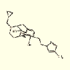 Cc1cnn(CCN2CCC34CCN(CC5CC5)C(Cc5cccc(O)c53)C4(O)CC2)c1